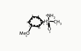 COc1cccc([SH](C)(N)=O)c1